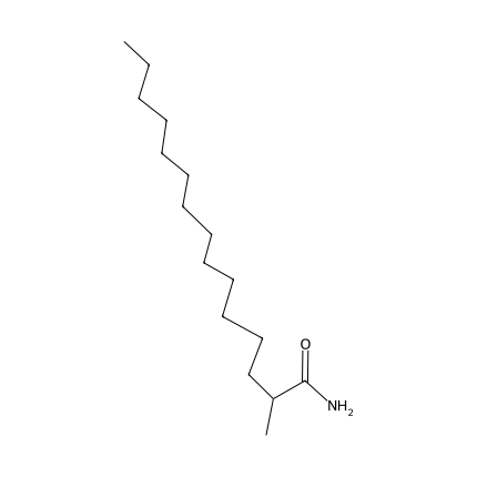 CCCCCCCCCCCCCC(C)C(N)=O